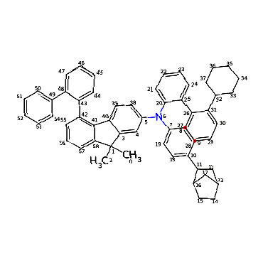 CC1(C)c2cc(N(c3ccc(C4CC5CCC4C5)cc3)c3ccccc3-c3ccccc3C3CCCCC3)ccc2-c2c(-c3ccccc3-c3ccccc3)cccc21